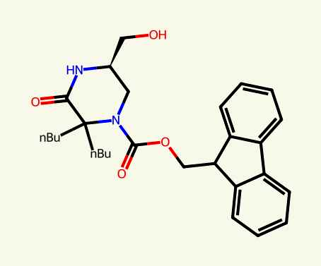 CCCCC1(CCCC)C(=O)N[C@@H](CO)CN1C(=O)OCC1c2ccccc2-c2ccccc21